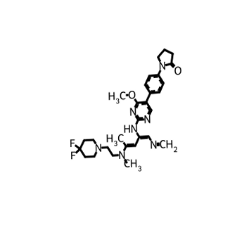 C=N/C=C(\C=C(/C)N(C)CCN1CCC(F)(F)CC1)Nc1ncc(-c2ccc(N3CCCC3=O)cc2)c(OC)n1